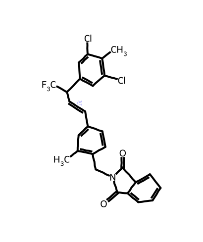 Cc1cc(/C=C/C(c2cc(Cl)c(C)c(Cl)c2)C(F)(F)F)ccc1CN1C(=O)c2ccccc2C1=O